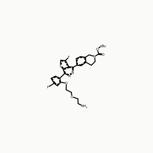 CC(C)(C)OC(=O)N1CCc2cc(-c3nnc(-c4ccc(F)cc4OCCOCCN)c4scc(F)c34)ccc2C1